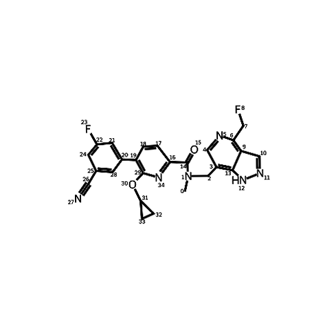 CN(Cc1cnc(CF)c2cn[nH]c12)C(=O)c1ccc(-c2cc(F)cc(C#N)c2)c(OC2CC2)n1